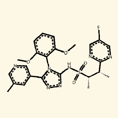 COc1cccc(OC)c1-n1c(NS(=O)(=O)[C@@H](C)[C@@H](C)c2ncc(F)cn2)nnc1-c1cncc(C)c1